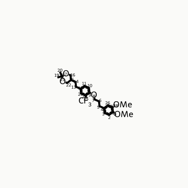 COc1ccc(CCCOc2ccc(CCC3COC(C)(C)OC3)cc2C(F)(F)F)cc1OC